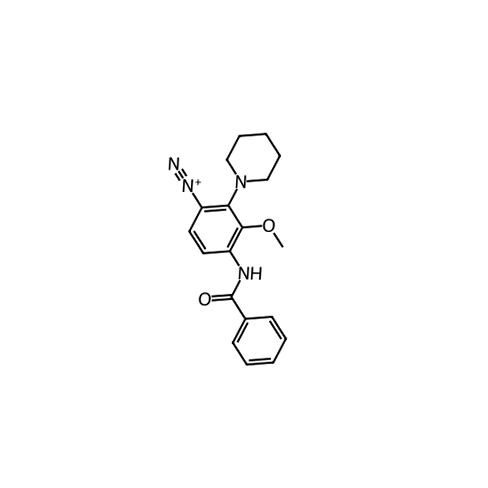 COc1c(NC(=O)c2ccccc2)ccc([N+]#N)c1N1CCCCC1